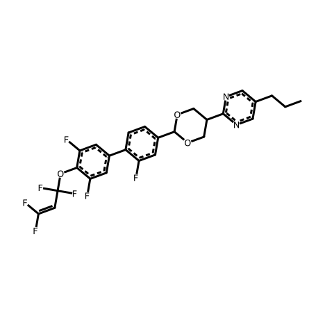 CCCc1cnc(C2COC(c3ccc(-c4cc(F)c(OC(F)(F)C=C(F)F)c(F)c4)c(F)c3)OC2)nc1